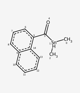 [CH3][SnH]([CH3])[C](=O)c1cccc2ccccc12